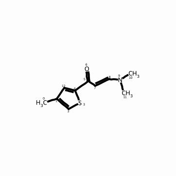 Cc1csc(C(=O)C=CN(C)C)c1